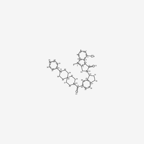 Cn1c2c(c3c(Cl)cccc31)C(=O)N(C1CCc3ccc(C(=O)N4CCC5(CC4)CCN(c4ccncc4)CC5)cc31)C2